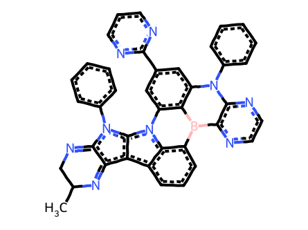 CC1CN=c2c(c3c4cccc5c4n(c3n2-c2ccccc2)-c2cc(-c3ncccn3)cc3c2B5c2nccnc2N3c2ccccc2)=N1